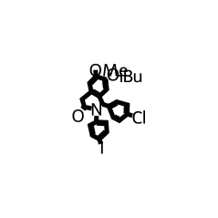 CC[C@@H](C)Oc1cc2c(cc1OC)CC(=O)N(c1ccc(I)cc1)C2c1ccc(Cl)cc1